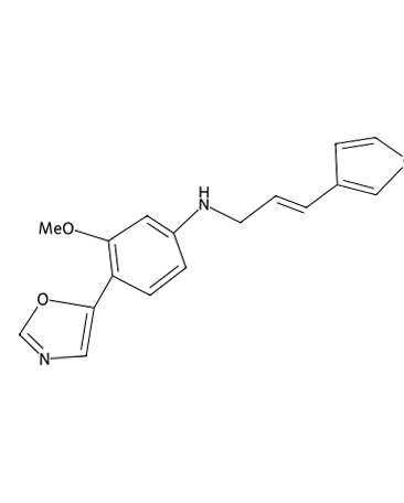 COc1cc(NC/C=C/c2ccoc2)ccc1-c1cnco1